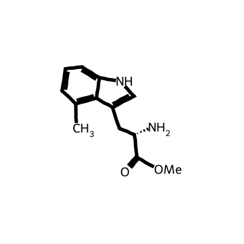 COC(=O)[C@@H](N)Cc1c[nH]c2cccc(C)c12